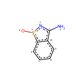 Nc1n[s+]([O-])c2ccccc12